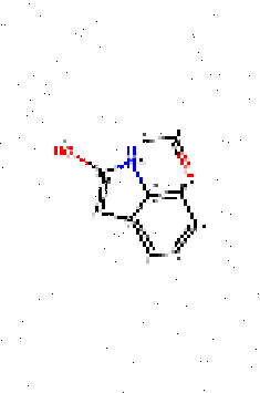 CC=O.Oc1cc2ccccc2[nH]1